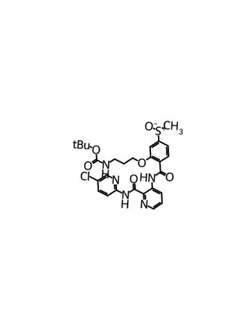 C[S+]([O-])c1ccc(C(=O)Nc2cccnc2C(=O)Nc2ccc(Cl)cn2)c(OCCCNC(=O)OC(C)(C)C)c1